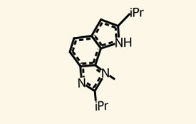 CC(C)c1cc2ccc3nc(C(C)C)n(C)c3c2[nH]1